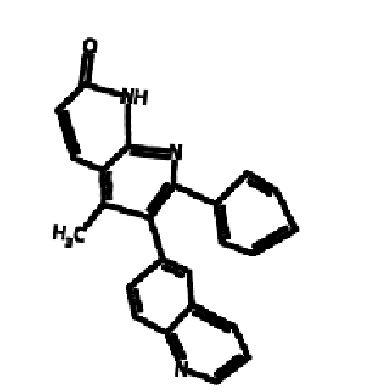 Cc1c(-c2ccc3ncccc3c2)c(-c2ccccc2)nc2[nH]c(=O)ccc12